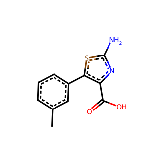 Cc1cccc(-c2sc(N)nc2C(=O)O)c1